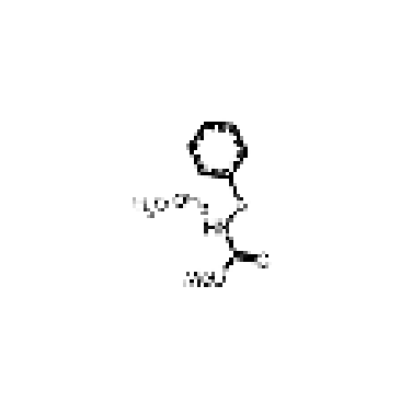 COC(=O)N[B]c1ccccc1.O.O